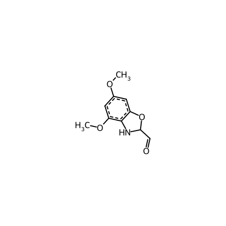 COc1cc(OC)c2c(c1)OC(C=O)N2